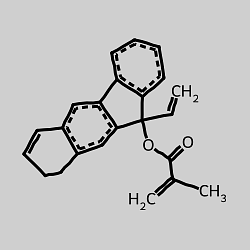 C=CC1(OC(=O)C(=C)C)c2ccccc2-c2cc3c(cc21)CCC=C3